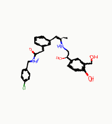 C[C@H](Cc1cccc(CC(=O)NCc2ccc(Cl)cc2)c1)NC[C@H](O)c1ccc(O)c(CO)c1